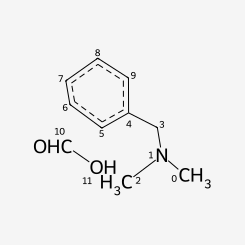 CN(C)Cc1ccccc1.O=CO